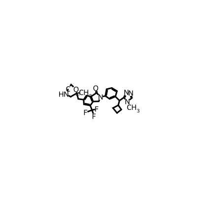 Cn1cnnc1C(c1cccc(N2Cc3c(cc(C[C@]4(C)CNCCO4)cc3C(F)(F)F)C2=O)c1)C1CCC1